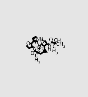 CC(C)(C)C(=O)NC1COCC1C1CC1CC(C)(C)C(=O)NC1CCOC1c1cc[nH]n1